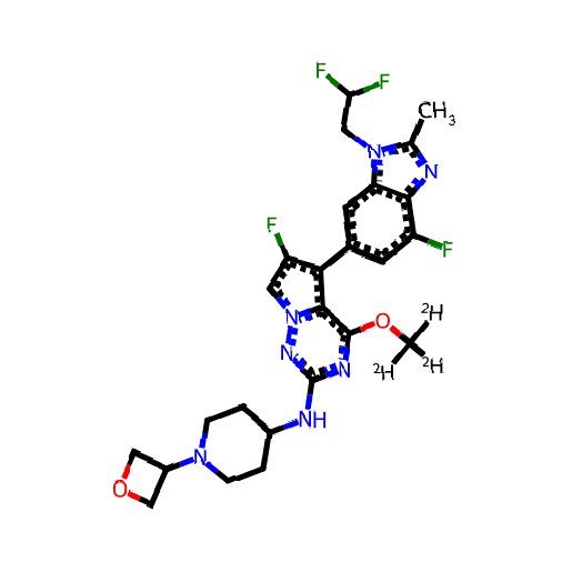 [2H]C([2H])([2H])Oc1nc(NC2CCN(C3COC3)CC2)nn2cc(F)c(-c3cc(F)c4nc(C)n(CC(F)F)c4c3)c12